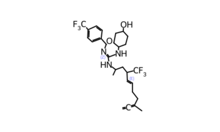 C=C=C(C)CC/C=C/C(CC(C)N/C(=N/C(=O)c1ccc(C(F)(F)F)cc1)NC1CCC(O)CC1)C(F)(F)F